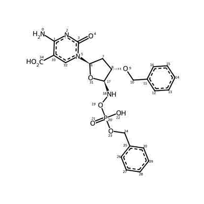 Nc1nc(=O)n([C@H]2C[C@H](OCc3ccccc3)[C@@H](NOP(=O)(O)OCc3ccccc3)O2)cc1C(=O)O